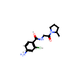 CC1CCCN1C(=O)CNC(=O)c1ccc(N)cc1Cl